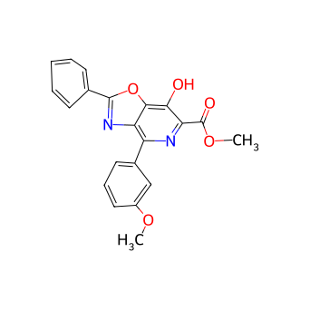 COC(=O)c1nc(-c2cccc(OC)c2)c2nc(-c3ccccc3)oc2c1O